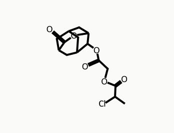 CC(Cl)C(=O)OCC(=O)OC1C2CC3CC(C2)C(=O)OC1C3